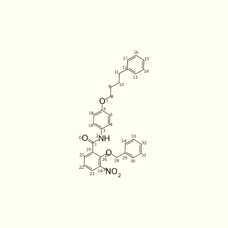 O=C(Nc1ccc(OCCCCc2ccccc2)cc1)c1cccc([N+](=O)[O-])c1OCc1ccccc1